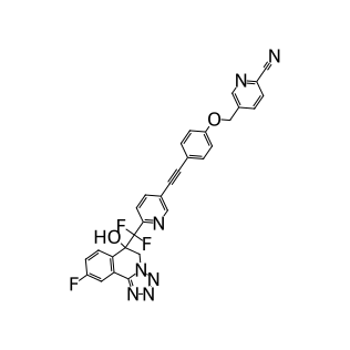 N#Cc1ccc(COc2ccc(C#Cc3ccc(C(F)(F)C4(O)Cn5nnnc5-c5cc(F)ccc54)nc3)cc2)cn1